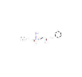 COC(=O)N/C=C/C(=O)OCc1ccccc1